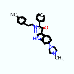 CN1CCN(c2ccc3c(C(=O)[C@@H](NCCc4ccc(C#N)cc4)c4ccccc4)c[nH]c3c2)CC1